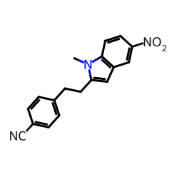 Cn1c(CCc2ccc(C#N)cc2)cc2cc([N+](=O)[O-])ccc21